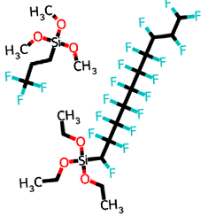 CCO[Si](OCC)(OCC)C(F)C(F)(F)C(F)(F)C(F)(F)C(F)(F)C(F)(F)C(F)(F)C(F)C(F)C(F)F.CO[Si](CCC(F)(F)F)(OC)OC